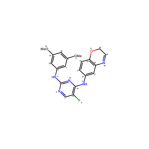 COc1cc(Nc2ncc(F)c(Nc3ccc4c(c3)N=CCO4)n2)cc(OC)c1